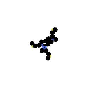 c1ccc(C2(c3ccccc3)c3cc(-c4cc(-n5c6ccccc6c6cc(-c7ccc8sc9ccccc9c8c7)ccc65)nc(-n5c6ccccc6c6cc(-c7ccc8sc9ccccc9c8c7)ccc65)n4)ccc3-c3ccc(-n4c5ccccc5c5cc(-c6ccc7sc8ccccc8c7c6)ccc54)cc32)cc1